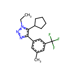 CCn1nnc(-c2cc(C)cc(C(F)(F)F)c2)c1C1CCCC1